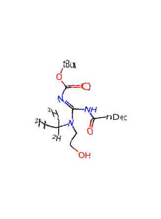 [2H]C([2H])([2H])N(CCO)C(=NC(=O)OC(C)(C)C)NC(=O)CCCCCCCCCC